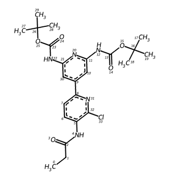 CCC(=O)Nc1ccc(-c2cc(NC(=O)OC(C)(C)C)nc(NC(=O)OC(C)(C)C)c2)nc1Cl